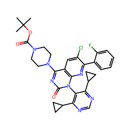 CC(C)(C)OC(=O)N1CCN(c2nc(=O)n(-c3c(C4CC4)ncnc3C3CC3)c3nc(-c4ccccc4F)c(Cl)cc23)CC1